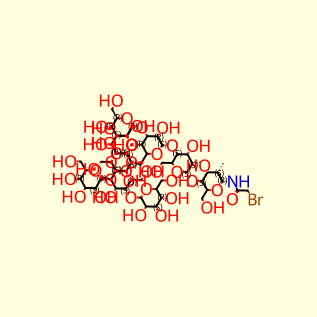 CC1C(O)[C@H](OC2OC(CO)[C@H](O)[C@H](O)C2O)[C@H](CO)O[C@H]1O[C@@H]1C(O)[C@H](O)C(CO)O[C@@H]1OCC1O[C@@H](O[C@@H]2C(CO)O[C@@H](O[C@@H]3C(CO)O[C@@H](NC(=O)CBr)[C@@H](C)C3O)[C@@H](C)C2O)[C@H](O)C(O[C@H]2O[C@H](CO)[C@@H](O)C(O)C2O[C@@H]2OC(CO)[C@@H](O[C@@H]3OC(CO)[C@H](O)C(O)[C@@H]3O)C(O)[C@@H]2C)[C@@H]1O